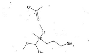 CC(=O)[O-].COC(OC)[N+](C)(CCC[SiH3])OC